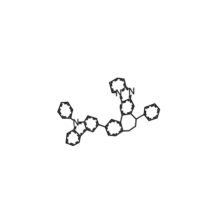 c1ccc(C2CCc3ccc(-c4ccc5c(c4)c4ccccc4n5-c4ccccc4)cc3-c3cc4c(cc32)nc2ccccn24)cc1